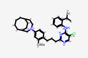 COc1cc(N2CCC3CCCCC(CC3)C2)ccc1CCCc1ncc(Cl)c(Nc2ccccc2C(C)C(C)=O)n1